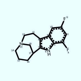 Fc1cc(F)c2[nH]c3c(c2c1)CCN1CCCC3C1